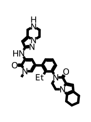 CCc1c(-c2cc(Nc3cc4n(n3)CCNC4)c(=O)n(C)c2)cccc1N1CCn2c(cc3c2CCCC3)C1=O